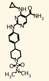 CN(C)S(=O)(=O)N1CCC(c2ccc(Nc3ncc(C(N)=O)c(NC4CC4)n3)cc2)CC1